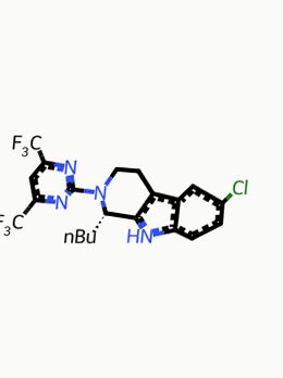 CCCC[C@H]1c2[nH]c3ccc(Cl)cc3c2CCN1c1nc(C(F)(F)F)cc(C(F)(F)F)n1